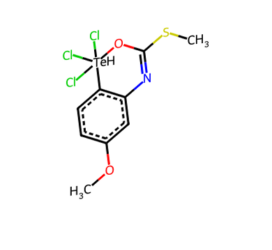 COc1ccc2c(c1)N=C(SC)O[TeH]2(Cl)(Cl)Cl